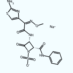 CON=C(C(=O)N[C@H]1C(=O)N(S(=O)(=O)[O-])[C@H]1C(=O)Nc1ccccc1)c1csc(N)n1.[Na+]